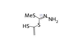 C=C(S)S/C(=N\N)SC